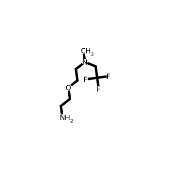 CN(CCOCCN)CC(F)(F)F